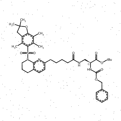 Cc1c(C)c(S(=O)(=O)N2CCCc3ccc(CCCCC(=O)NC[C@H](NC(=O)OCc4ccccc4)C(=O)OC(C)(C)C)nc32)c(C)c2c1OC(C)(C)C2